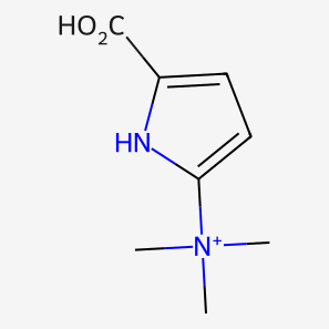 C[N+](C)(C)c1ccc(C(=O)O)[nH]1